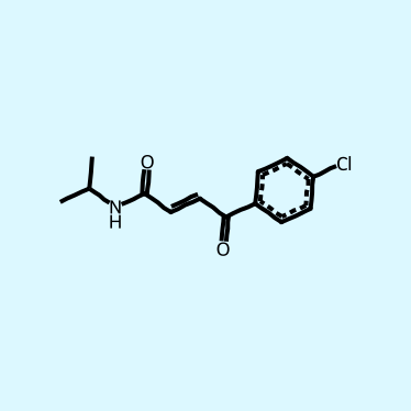 CC(C)NC(=O)C=CC(=O)c1ccc(Cl)cc1